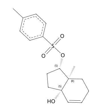 Cc1ccc(S(=O)(=O)O[C@H]2CC[C@]3(O)C=CCC[C@]23C)cc1